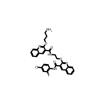 NCCCOc1nc2ccccc2cc1C(=O)NCCOc1nc2ccccc2cc1C(=O)Nc1ccc(Cl)cc1F